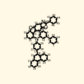 c1ccc(-c2cccc(N(c3ccc(-c4cc5ccccc5c5ccccc45)cc3)c3cccc4oc5cc6nc(-c7ccccc7)oc6cc5c34)c2)cc1